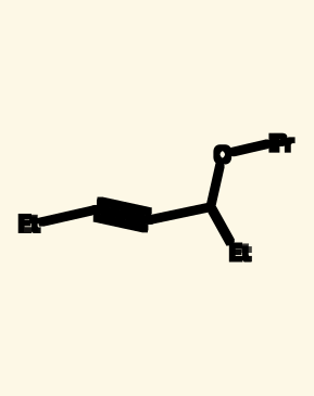 CCC#CC(CC)OC(C)C